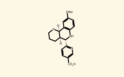 COc1ccc2c(c1)[C@@H]1OCCC[C@@H]1[C@@H](c1ccc(C(=O)O)cn1)N2